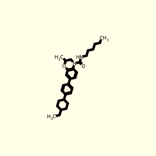 CCCCCCNC(=O)N1CC(C)Oc2cc(-c3ccc(C4CCC(CC)CC4)cc3)ccc21